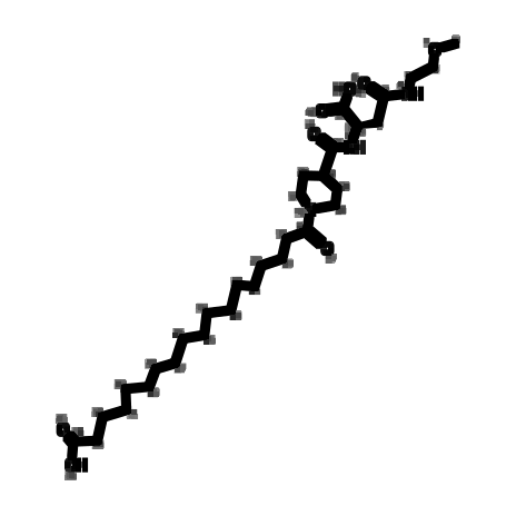 COCCNC(=O)C[C@@H](NC(=O)C1CCN(C(=O)CCCCCCCCCCCCCCCCC(=O)O)CC1)C(=O)O